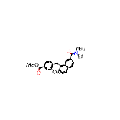 CCCCN(CC)C(=O)c1ccc2cccc(Cc3ccc(C(=O)OC)cc3OC)c2c1